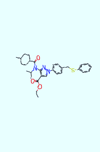 CCOC(=O)c1cn(-c2ccc(CSc3ccccc3)cc2)nc1N(C(=O)C1CCC(C)CC1)C(C)C